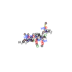 CN(C)C1(Cc2cccc(Cl)c2)CCC(NC(=O)COCc2ccccc2)CC1.CN(C)C1(Cc2ccccc2)CCC(NC(=O)COc2ccc(Cl)cc2)CC1.COCC(=O)NC1CCC(c2cccc(F)c2)(N(C)C)CC1.Cc1cccc(CC2(N(C)C)CCC(NC(=O)CSCc3ccccc3)CC2)c1.Cc1cccc(CC2(N(C)C)CCC(NC(=O)c3ccccc3Nc3ccccc3)CC2)c1